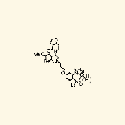 CCN1C(=O)C(C)(C)C(=O)N(C)c2cc(OCCCN(CCn3ccc4occc4c3=O)Cc3ccc(OC)nc3)ccc21